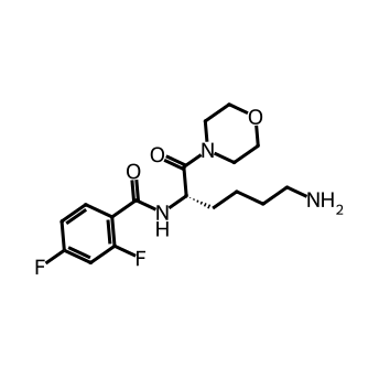 NCCCC[C@H](NC(=O)c1ccc(F)cc1F)C(=O)N1CCOCC1